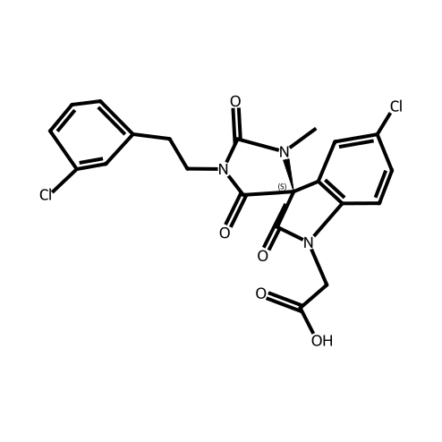 CN1C(=O)N(CCc2cccc(Cl)c2)C(=O)[C@]12C(=O)N(CC(=O)O)c1ccc(Cl)cc12